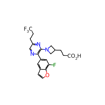 O=C(O)CCC1CN(c2nc(CCC(F)(F)F)cnc2-c2cc(F)c3occc3c2)C1